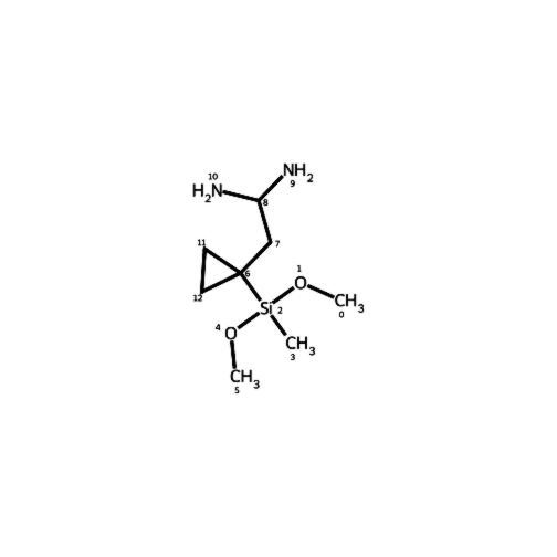 CO[Si](C)(OC)C1(CC(N)N)CC1